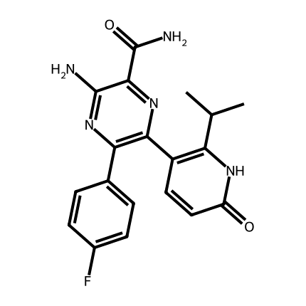 CC(C)c1[nH]c(=O)ccc1-c1nc(C(N)=O)c(N)nc1-c1ccc(F)cc1